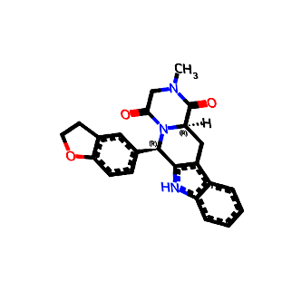 CN1CC(=O)N2[C@H](c3ccc4c(c3)CCO4)c3[nH]c4ccccc4c3C[C@@H]2C1=O